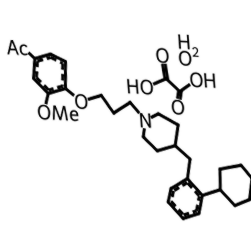 COc1cc(C(C)=O)ccc1OCCCN1CCC(Cc2ccccc2C2CCCCC2)CC1.O.O=C(O)C(=O)O